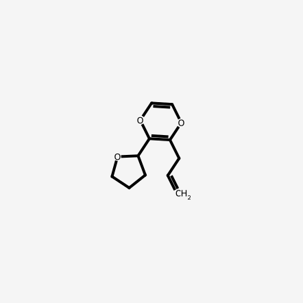 C=CCC1=C(C2CCCO2)OC=CO1